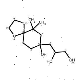 CC1(C)CC(O)(CC(O)CO)CCC12OCCO2